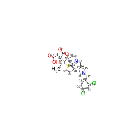 CCCC1(CC(=O)O)CC2(CCN(C[C@H]3CN(Cc4ccc(Cl)cc4Cl)C[C@@H]3c3ccsc3)CC2)OC1=O